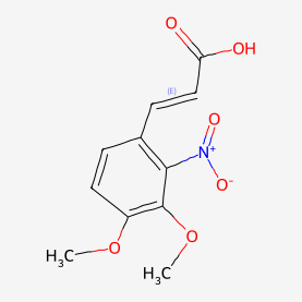 COc1ccc(/C=C/C(=O)O)c([N+](=O)[O-])c1OC